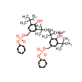 CC(C)(C)c1cc(COP(=O)([O-])Oc2ccccc2)cc(C(C)(C)C)c1O.CC(C)(C)c1cc(COP(=O)([O-])Oc2ccccc2)cc(C(C)(C)C)c1O.[Ba+2]